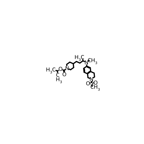 CC(C)OC(=O)N1CCC(CCC(C)N(C)c2ccc3c(c2)CCN(S(C)(=O)=O)C3)CC1